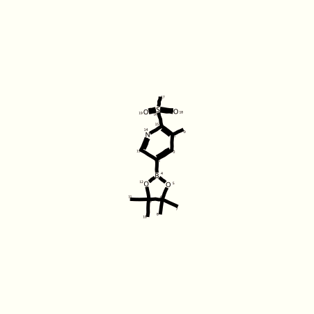 Cc1cc(B2OC(C)(C)C(C)(C)O2)cnc1S(C)(=O)=O